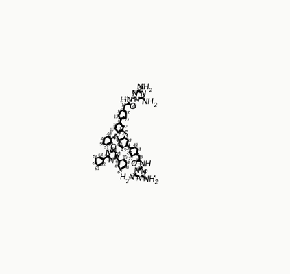 Nc1nc(N)nc(NC(=O)Cc2ccc(-c3ccc4c(c3)Sc3cc(-c5ccc(CC(=O)Nc6nc(N)nc(N)n6)cc5)ccc3N4c3ccccc3Oc3nc(-c4ccccc4)nc(-c4ccccc4)n3)cc2)n1